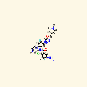 Cc1c(F)c(N)cc(C(=O)Nc2cc(-n3cc(OCC4CCN(C)CC4)nn3)c(F)cc2N2CCN(C)CC2)c1Cl